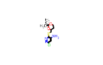 CC1(C)OCCC(CSc2nnc(Cl)cc2N)O1